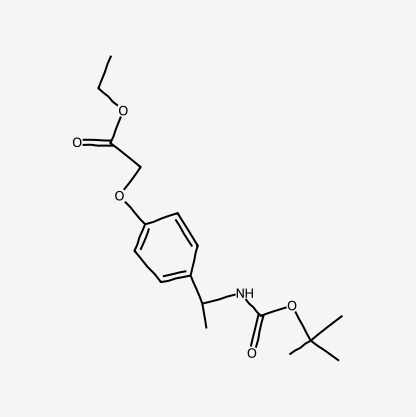 CCOC(=O)COc1ccc(C(C)NC(=O)OC(C)(C)C)cc1